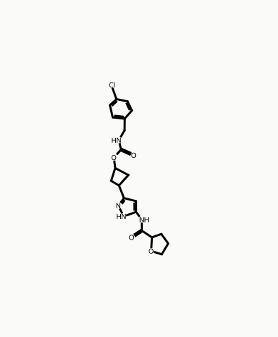 O=C(NCc1ccc(Cl)cc1)OC1CC(c2cc(NC(=O)C3CCCO3)[nH]n2)C1